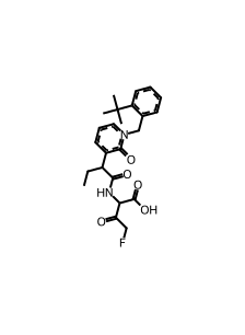 CCC(C(=O)NC(C(=O)O)C(=O)CF)c1cccn(Cc2ccccc2C(C)(C)C)c1=O